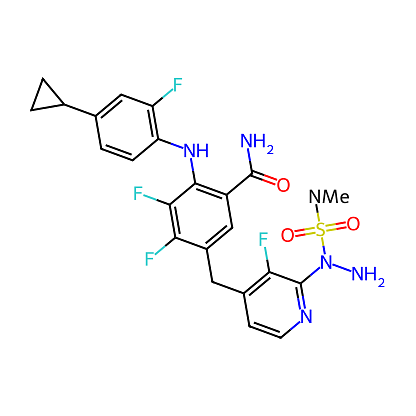 CNS(=O)(=O)N(N)c1nccc(Cc2cc(C(N)=O)c(Nc3ccc(C4CC4)cc3F)c(F)c2F)c1F